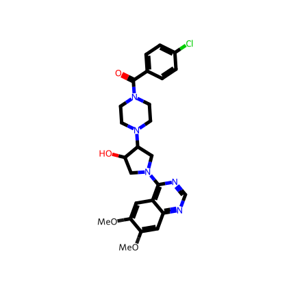 COc1cc2ncnc(N3CC(O)C(N4CCN(C(=O)c5ccc(Cl)cc5)CC4)C3)c2cc1OC